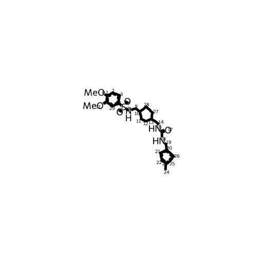 COc1ccc(S(=O)(=O)NCC2CCC(CNC(=O)NCc3ccc(C)cc3)CC2)cc1OC